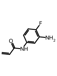 C=CC(=O)Nc1ccc(F)c(N)c1